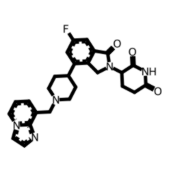 O=C1CCC(N2Cc3c(cc(F)cc3C3CCN(Cc4cccn5ccnc45)CC3)C2=O)C(=O)N1